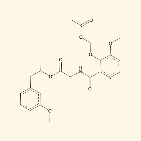 COc1cccc(CC(C)OC(=O)CNC(=O)c2nccc(OC)c2OCOC(C)=O)c1